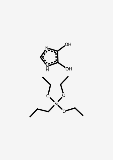 CCC[Si](OCC)(OCC)OCC.Oc1nc[nH]c1O